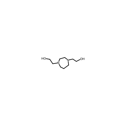 OCCN1CCCN(CCO)CC1